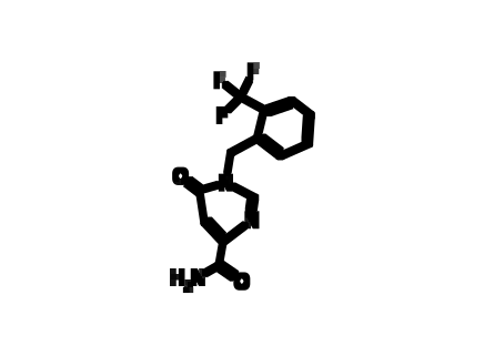 NC(=O)c1cc(=O)n(Cc2ccccc2C(F)(F)F)cn1